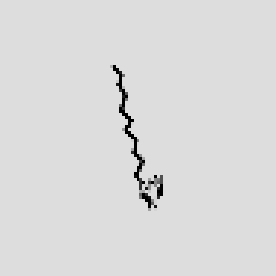 CCCCCCCCCCCn1cncn1